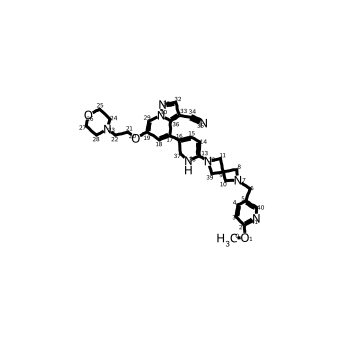 COc1ccc(CN2CC3(C2)CN(C2=CC=C(c4cc(OCCN5CCOCC5)cn5ncc(C#N)c45)CN2)C3)cn1